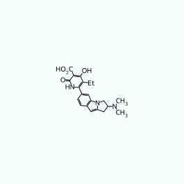 CCc1c(-c2ccc3cc4n(c3c2)CC(N(C)C)C4)[nH]c(=O)c(C(=O)O)c1O